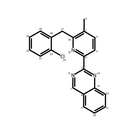 Cc1ccc(-c2ncc3ccccc3n2)nc1Cc1ccccc1Cl